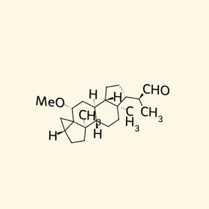 CO[C@@H]1C[C@H]2[C@@H]3CC[C@H]([C@H](C)C=O)[C@@]3(C)CC[C@@H]2[C@@]2(C)CC[C@@H]3CC312